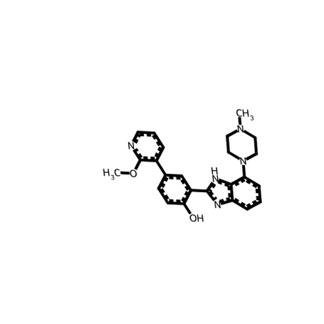 COc1ncccc1-c1ccc(O)c(-c2nc3cccc(N4CCN(C)CC4)c3[nH]2)c1